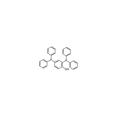 Oc1ccc(P(c2ccccc2)c2ccccc2)cc1P(c1ccccc1)c1ccccc1